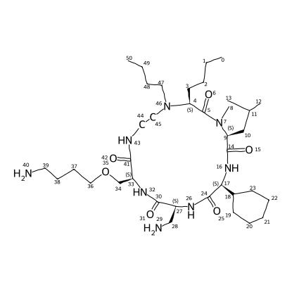 CCCC[C@H]1C(=O)N(C)[C@@H](CC(C)C)C(=O)N[C@@H](C2CCCCC2)C(=O)N[C@@H](CN)C(=O)N[C@@H](COCCCCN)C(=O)NCCN1CCCC